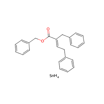 O=C(OCc1ccccc1)C(=CCc1ccccc1)Cc1ccccc1.[SnH4]